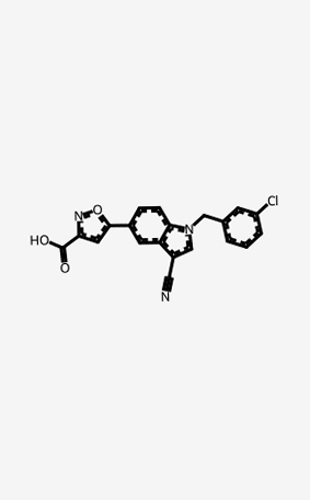 N#Cc1cn(Cc2cccc(Cl)c2)c2ccc(-c3cc(C(=O)O)no3)cc12